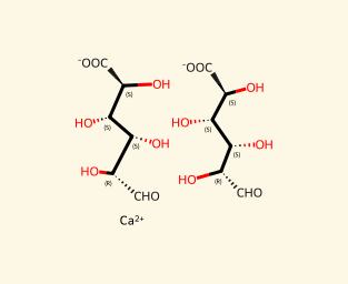 O=C[C@H](O)[C@@H](O)[C@H](O)[C@H](O)C(=O)[O-].O=C[C@H](O)[C@@H](O)[C@H](O)[C@H](O)C(=O)[O-].[Ca+2]